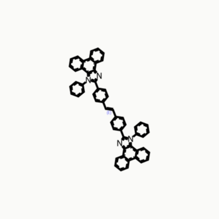 C(=C\c1ccc(-c2nc3c4ccccc4c4ccccc4c3n2-c2ccccc2)cc1)/c1ccc(-c2nc3c4ccccc4c4ccccc4c3n2-c2ccccc2)cc1